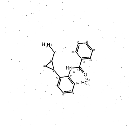 Cl.NCC1CC1c1ccccc1NC(=O)c1ccccc1